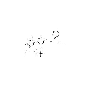 CO[C@H](COc1ccc(-c2c(C)nc(C)c([C@H](OC(C)(C)C)C(=O)O)c2N2CCC(C)(C)CC2)cc1)c1ccccc1